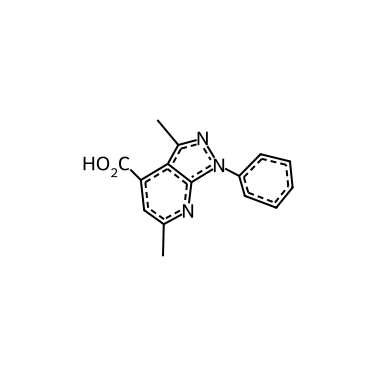 Cc1cc(C(=O)O)c2c(C)nn(-c3ccccc3)c2n1